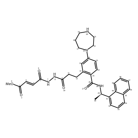 COC(=O)/C=C/C(=O)NNC(=O)CCc1cc(N2CCCNCC2)ccc1C(=O)N[C@H](C)c1cccc2ccccc12